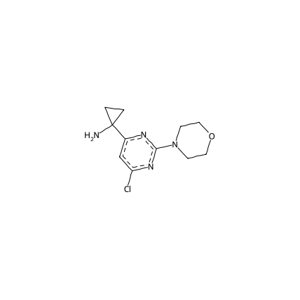 NC1(c2cc(Cl)nc(N3CCOCC3)n2)CC1